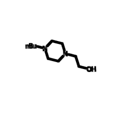 CCCCN1CCN(CCO)CC1